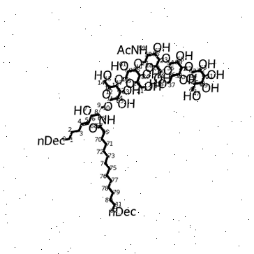 CCCCCCCCCCCCC/C=C/[C@@H](O)[C@H](CO[C@@H]1OC(CO)[C@@H](O[C@@H]2OC(CO)[C@H](O)[C@H](O[C@@H]3OC(CO)[C@@H](O[C@@H]4OC(CO)[C@H](O)[C@H](O[C@@H]5OC(CO)[C@H](O)[C@H](O)C5O)C4O)[C@H](O)C3NC(C)=O)C2O)[C@H](O)C1O)NC(=O)CCCCCCCCCCCCCCCCCCCCCCC